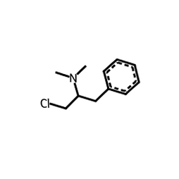 CN(C)C(CCl)Cc1ccccc1